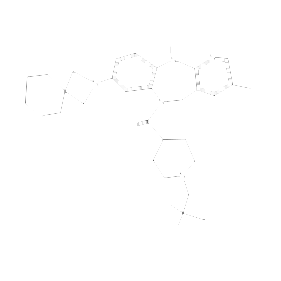 O=C(C1CCN(CC(F)(F)F)CC1)N1Cc2cc(F)cnc2Nc2ccc(N3CC4(CCCOC4)C3)cc21